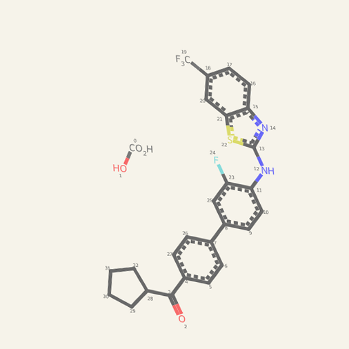 O=C(O)O.O=C(c1ccc(-c2ccc(Nc3nc4ccc(C(F)(F)F)cc4s3)c(F)c2)cc1)C1CCCC1